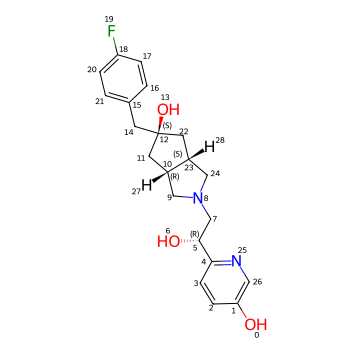 Oc1ccc([C@H](O)CN2C[C@@H]3C[C@](O)(Cc4ccc(F)cc4)C[C@@H]3C2)nc1